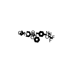 O=S(=O)(C1CCN(C2COC2)CC1)N(Cc1ccc(-c2nnc(C(F)F)o2)cc1)c1ccccc1